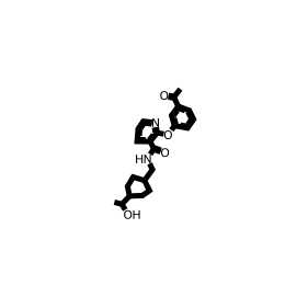 CC(=O)c1cccc(Oc2ncccc2C(=O)NCC2CCC(C(C)O)CC2)c1